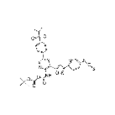 CC(C)S(=O)(=O)c1ccc(-c2cnc(NC(=O)OC(=O)OC(C)(C)C)c(-c3cc(-c4ccc(N=C=S)cn4)no3)n2)cc1